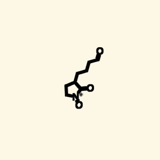 O=CCCCC1CC[N+](=O)C1=O